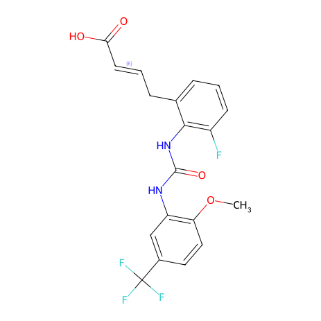 COc1ccc(C(F)(F)F)cc1NC(=O)Nc1c(F)cccc1C/C=C/C(=O)O